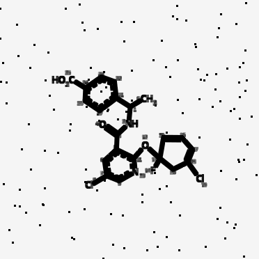 CC(NC(=O)c1cc(Cl)cnc1OC1(F)C=CC=C(Cl)C1)c1ccc(C(=O)O)cc1